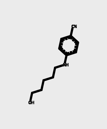 N#Cc1ccc(NCCCCCO)cc1